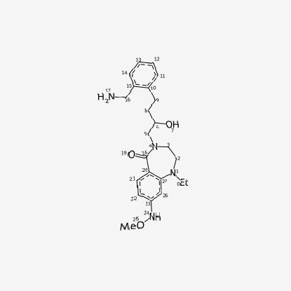 CCN1CCN(CC(O)CCc2ccccc2CN)C(=O)c2ccc(NOC)cc21